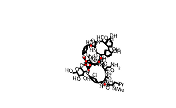 CN[C@H](CC(C)C)C(=O)N[C@H]1C(=O)N[C@@H](CC(N)=O)C(=O)N[C@H]2C(=O)N[C@H]3C(=O)N[C@H](C(=O)NC(C(=O)O)c4cc(O)cc(O)c4-c4cc3ccc4O)[C@H](O)c3ccc(c(Cl)c3)Oc3cc2cc(c3OC2OC(CO)C(O)C(O)C2O[C@@H]2CC(C)(NC)C(O)C(C)O2)Oc2ccc(cc2Cl)[C@H]1O